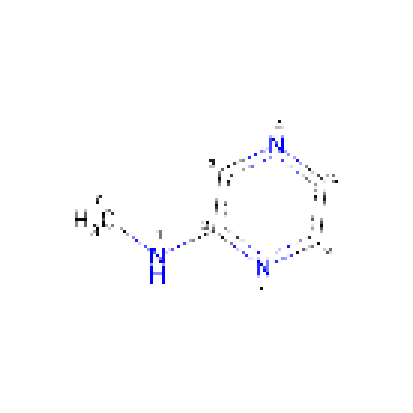 CNc1cn[c]cn1